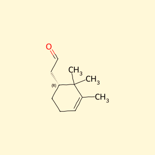 CC1=CCC[C@H](CC=O)C1(C)C